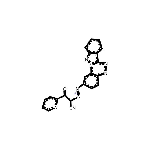 N#CC(/N=N/c1ccc2nnc3c4ccccc4nn3c2c1)C(=O)c1ccccn1